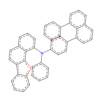 c1ccc(-c2cccc3cccc(-c4ccc(N(c5ccccc5)c5cccc6ccc7c8ccccc8oc7c56)cc4)c23)cc1